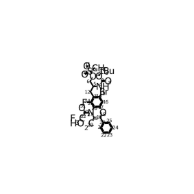 CC(C)(C)OC(=O)NC(COS(C)(=O)=O)Cc1c(Br)cc(OCc2ccccc2)c(N(CC(=O)O)C(=O)C(F)(F)F)c1F